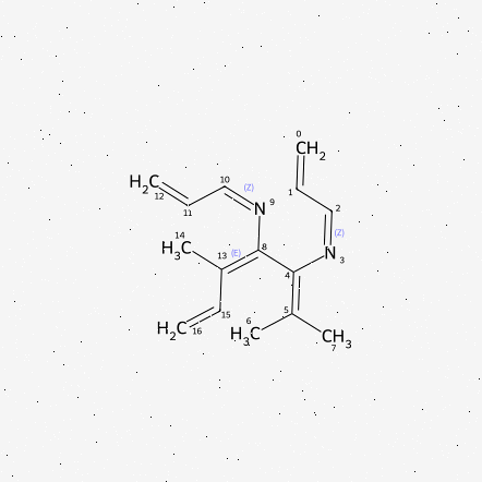 C=C/C=N\C(=C(C)C)C(/N=C\C=C)=C(/C)C=C